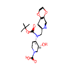 CC(C)(C)OC(=O)N(Cc1cc2c(cn1)OCCO2)[C@H]1CCN(C(=O)O)C[C@H]1O